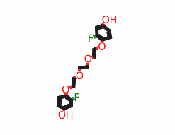 Oc1ccc(OCCOCCOCCOc2ccc(O)cc2F)c(F)c1